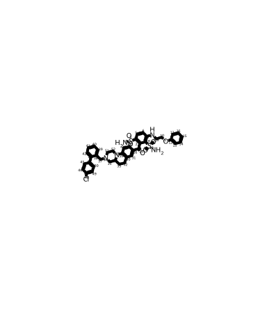 NS(=O)(=O)c1ccc(NCCOc2ccccc2)c(S(N)(=O)=O)c1C(=O)c1ccc2c(c1)CCC1CN(Cc3ccccc3-c3ccc(Cl)cc3)CCN21